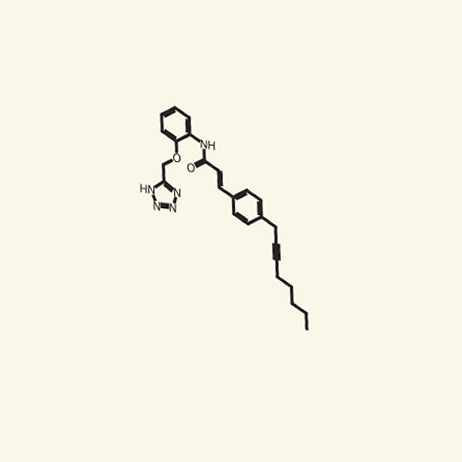 CCCCCC#CCc1ccc(C=CC(=O)Nc2ccccc2OCc2nnn[nH]2)cc1